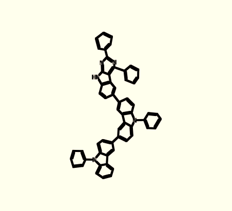 c1ccc(-c2nc(-c3ccccc3)c3c(n2)[nH]c2ccc(-c4ccc5c(c4)c4cc(-c6ccc7c(c6)c6ccccc6n7-c6ccccc6)ccc4n5-c4ccccc4)cc23)cc1